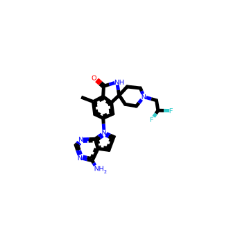 Cc1cc(-n2ccc3c(N)ncnc32)cc2c1C(=O)NC21CCN(CC(F)F)CC1